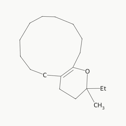 CCC1(C)CCC2=C(CCCCCCCCCC2)O1